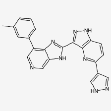 Cc1cccc(-c2cncc3[nH]c(-c4n[nH]c5ccc(-c6cn[nH]c6)nc45)nc23)c1